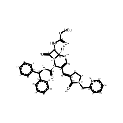 CC(C)(C)OC(=O)N[C@@H]1C(=O)N2[C@@H](C(=O)OC(c3ccccc3)c3ccccc3)C(C=C3CCN(Cc4ccccn4)C3=O)=CS[C@H]12